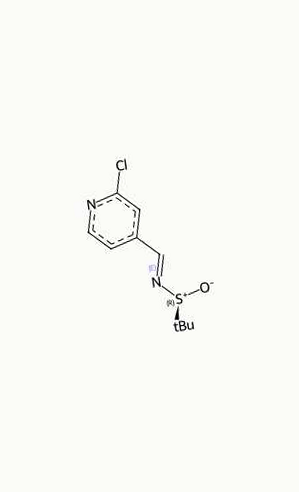 CC(C)(C)[S@+]([O-])/N=C/c1ccnc(Cl)c1